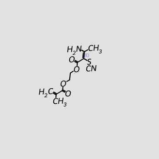 C=C(C)C(=O)OCCOC(=O)/C(SC#N)=C(/C)N